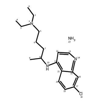 CCN(CC)CCCC(C)Nc1ccnc2cc(Cl)ccc12.N